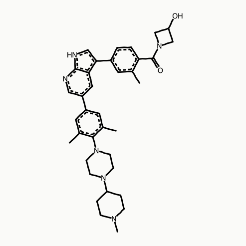 Cc1cc(-c2c[nH]c3ncc(-c4cc(C)c(N5CCN(C6CCN(C)CC6)CC5)c(C)c4)cc23)ccc1C(=O)N1CC(O)C1